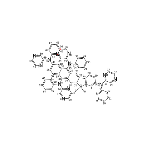 CC1(C)c2cc(N(c3ccccc3)c3cnccn3)ccc2-c2cc3c(N(c4ccccc4)c4cnccn4)c4cc(N(c5ccccc5)c5cnccn5)ccc4c(N(c4ccccc4)c4cnccn4)c3cc21